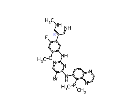 CN/C=C(\C=N)c1cc(Nc2ncc(Br)c(Nc3ccc4nccnc4c3P(C)C)n2)c(OC)cc1F